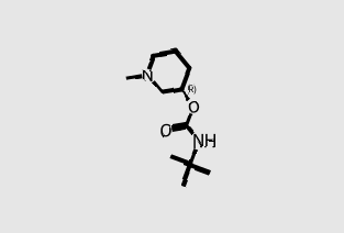 CN1CCC[C@@H](OC(=O)NC(C)(C)C)C1